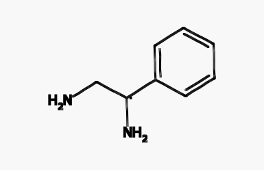 NC[C](N)c1ccccc1